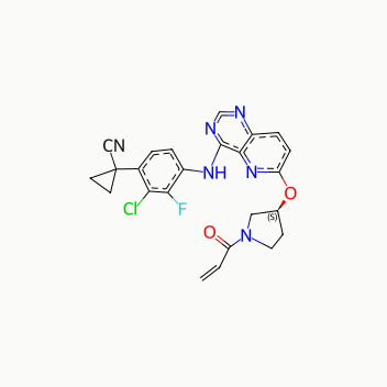 C=CC(=O)N1CC[C@H](Oc2ccc3ncnc(Nc4ccc(C5(C#N)CC5)c(Cl)c4F)c3n2)C1